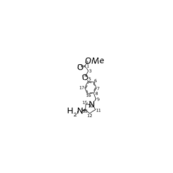 COC(=O)COc1ccc(CN2CC[C@@H](N)C2)cc1